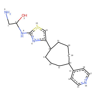 NCC(O)Nc1nc(C2CCCC(c3ccncc3)CCC2)cs1